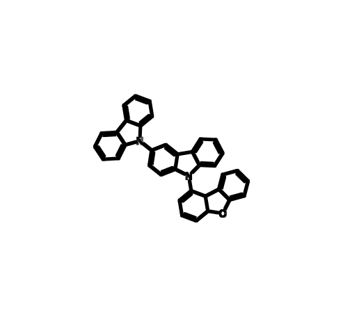 C1=CC2Oc3ccccc3C2C(n2c3ccccc3c3cc(-n4c5ccccc5c5ccccc54)ccc32)=C1